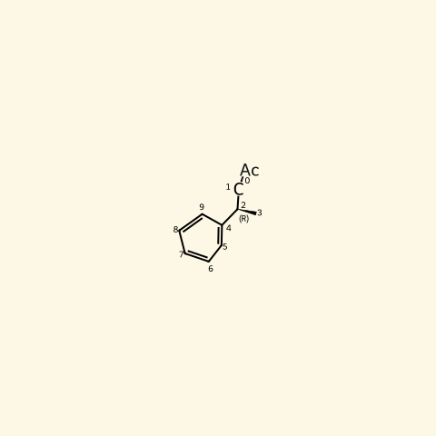 CC(=O)C[C@@H](C)c1ccccc1